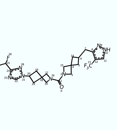 O=C(N1CC2(CC(Cc3n[nH]cc3C(F)(F)F)C2)C1)N1CC2(CC(n3cnc(C(F)F)n3)C2)C1